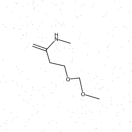 C=C(CCOCOC)NC